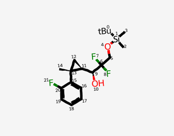 CC(C)(C)[Si](C)(C)OCC(F)(F)[C@@H](O)[C@@H]1C[C@@]1(C)c1ccccc1F